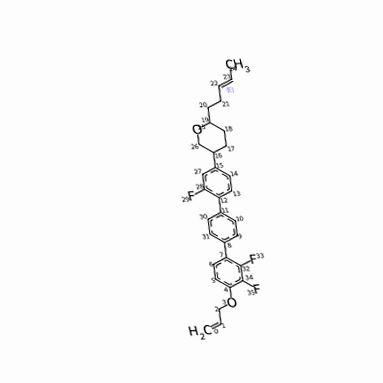 C=CCOc1ccc(-c2ccc(-c3ccc(C4CCC(CC/C=C/C)OC4)cc3F)cc2)c(F)c1F